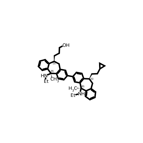 CCN[C@]1(C)c2ccc(-c3ccc4c(c3)[C@](C)(NCC)c3ccccc3C[C@@H]4CCC3CC3)cc2C[C@H](CCCO)c2ccccc21